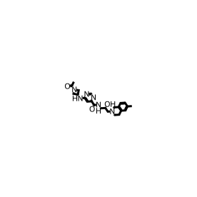 CC(=O)N1CC(Nc2cc(C(=O)NC[C@H](O)CN3CCc4cc(C)ccc4C3)ncn2)C1